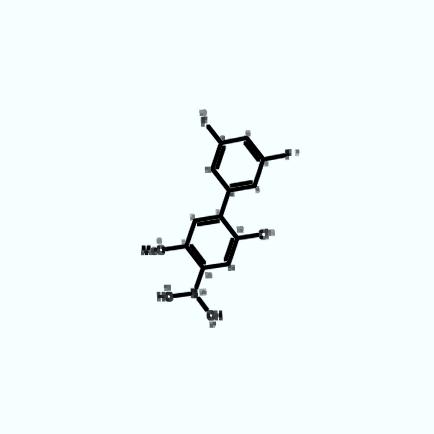 COc1cc(-c2cc(F)cc(F)c2)c(Cl)cc1B(O)O